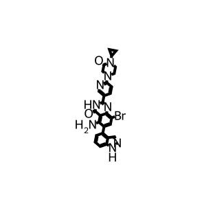 Nc1c(-c2cccc3[nH]ncc23)cc(Br)c2nc(-c3ccc(N4CCN(C5CC5)C(=O)C4)nc3)[nH]c(=O)c12